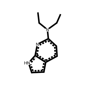 CCN(CC)c1ccc2cc[nH]c2n1